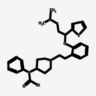 CCC(=O)N(c1ccccc1)C1CCN(CCc2ccccc2OC(CCN(C)C)c2cccs2)CC1